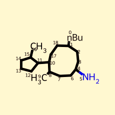 CCCCC1CCC(N)CCC(C)C(C2CCCC2C)CC1